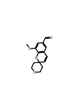 COc1cc(C=O)cc2c1OC1(C=C2)CCOCC1